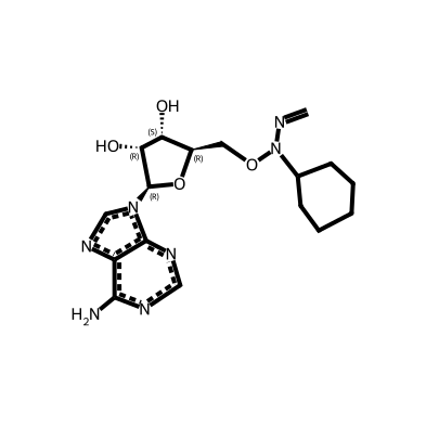 C=NN(OC[C@H]1O[C@@H](n2cnc3c(N)ncnc32)[C@H](O)[C@@H]1O)C1CCCCC1